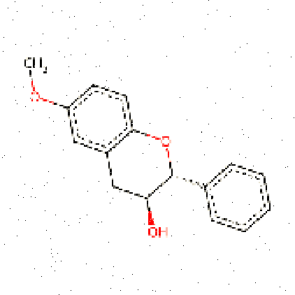 COc1ccc2c(c1)C[C@H](O)[C@@H](c1ccccc1)O2